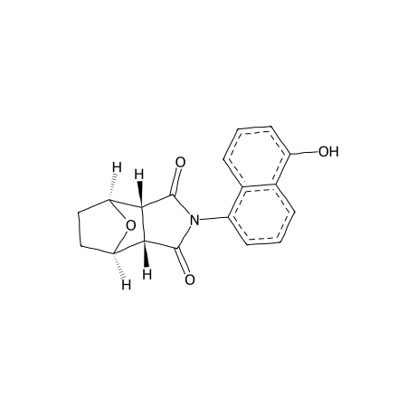 O=C1[C@@H]2[C@H](C(=O)N1c1cccc3c(O)cccc13)[C@H]1CC[C@@H]2O1